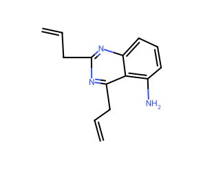 C=CCc1nc(CC=C)c2c(N)cccc2n1